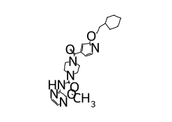 COc1nccnc1NC(=O)N1CCN(C(=O)c2ccnc(OCCC3CCCCC3)c2)CC1